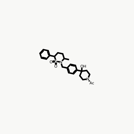 CC(=O)N1CCC(O)(c2ccc(CN3C(C)CCC(c4ccccc4)S3(=O)=O)cc2)CC1